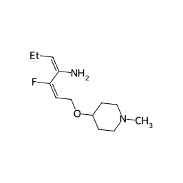 CC/C=C(N)\C(F)=C/COC1CCN(C)CC1